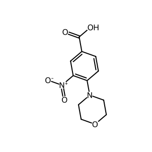 O=C(O)c1ccc(N2CCOCC2)c([N+](=O)[O-])c1